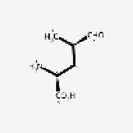 C[C@@H](C=O)C[C@H](N)C(=O)O